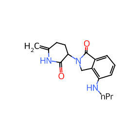 C=C1CCC(N2Cc3c(NCCC)cccc3C2=O)C(=O)N1